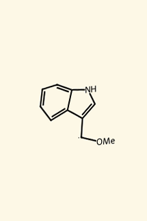 CO[CH]c1c[nH]c2ccccc12